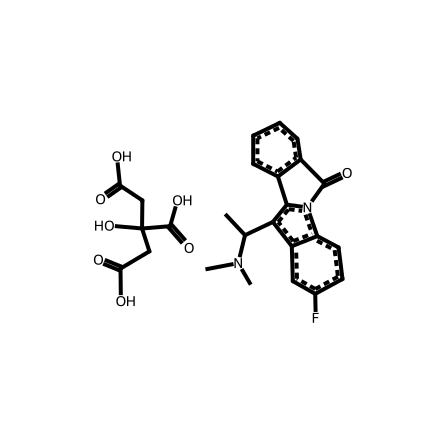 CC(c1c2n(c3ccc(F)cc13)C(=O)c1ccccc1-2)N(C)C.O=C(O)CC(O)(CC(=O)O)C(=O)O